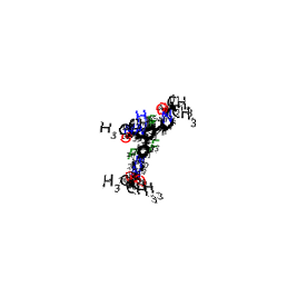 CC(C)C(=O)N1CCC=C(c2cc(-c3cc(F)c(N4CCN(C(=O)OC(C)(C)C)CC4)cc3F)c3cc(C(=O)N(C)C)[nH]c3c2F)C1